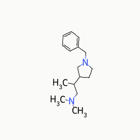 CC(CN(C)C)C1CCN(Cc2ccccc2)C1